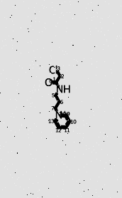 O=C(CCl)NCCC[n+]1ccccc1